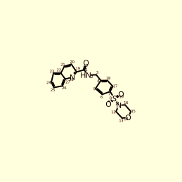 O=C(NCc1ccc(S(=O)(=O)N2CCOCC2)cc1)c1ccc2ccccc2n1